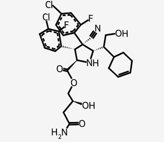 N#C[C@]1(c2ccc(Cl)cc2F)[C@H](C(CO)C2CC=CCC2)N[C@@H](C(=O)OC[C@@H](O)CC(N)=O)[C@@H]1c1cccc(Cl)c1F